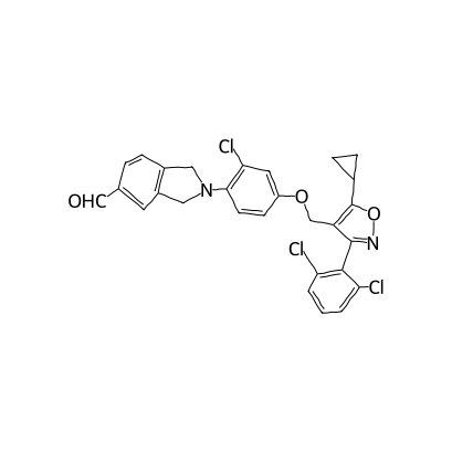 O=Cc1ccc2c(c1)CN(c1ccc(OCc3c(-c4c(Cl)cccc4Cl)noc3C3CC3)cc1Cl)C2